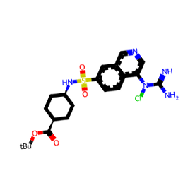 CC(C)(C)OC(=O)[C@H]1CC[C@@H](NS(=O)(=O)c2ccc3c(N(Cl)C(=N)N)cncc3c2)CC1